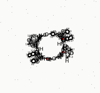 CN[C@@H](C)C(=O)N[C@H](C(=O)N1C[C@@H]2C[C@H]1C(=O)N[C@@H](Cc1ccc3ccccc3c1)C(=O)N[C@H](C(=O)NS(=O)(=O)c1ccccc1)Cc1ccc(cc1)OCc1cn(nn1)[C@H]1C[C@@H](C(=O)N[C@@H](Cc3ccc4ccccc4c3)C(=O)N[C@H](C(=O)NS(=O)(=O)c3ccccc3)Cc3ccc(cc3)OCc3cn2nn3)N(C(=O)[C@@H](NC(=O)[C@H](C)NC)C(C)(C)C)C1)C(C)(C)C